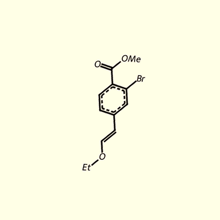 CCO/C=C/c1ccc(C(=O)OC)c(Br)c1